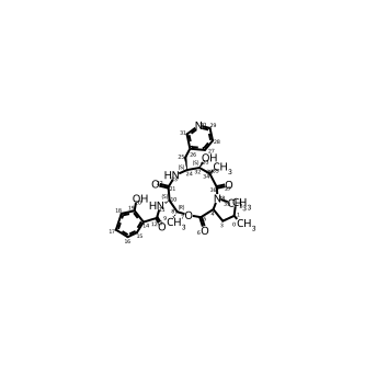 CC(C)CC1C(=O)O[C@H](C)[C@H](NC(=O)c2ccccc2O)C(=O)N[C@@H](Cc2cccnc2)[C@@H](O)[C@@H](C)C(=O)N1C